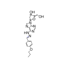 CCCOc1ccc(/C=N/Nc2ncnc3c2ncn3[C@H]2C[C@@H](O)[C@@H](CO)O2)cc1